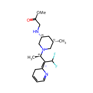 COC(=O)CN[C@@H]1C[C@H](C)CN([C@H](C)/C(=C2\CC=CC=N2)C(F)F)C1